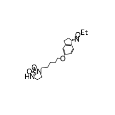 CCON=C1CCc2cc(OCCCCCN3CCNS3(=O)=O)ccc21